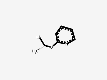 C[C@H](Cl)Oc1ccccn1